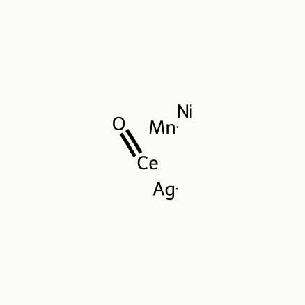 [Ag].[Mn].[Ni].[O]=[Ce]